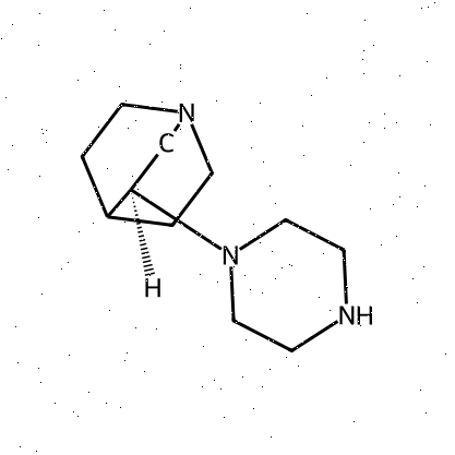 C1CN([C@@H]2CN3CCC2CC3)CCN1